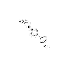 C[C@H]1CC[C@@H](c2ccc(OCC(=O)O)cc2)C1